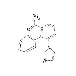 NC(=O)c1cccc(-n2ccnc2)c1-c1ccccc1